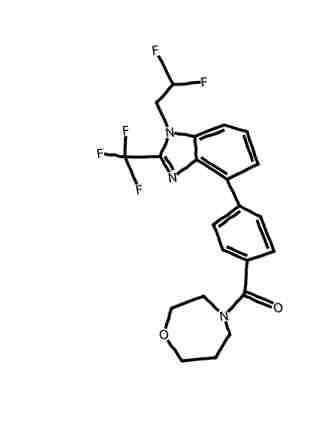 O=C(c1ccc(-c2cccc3c2nc(C(F)(F)F)n3CC(F)F)cc1)N1CCCOCC1